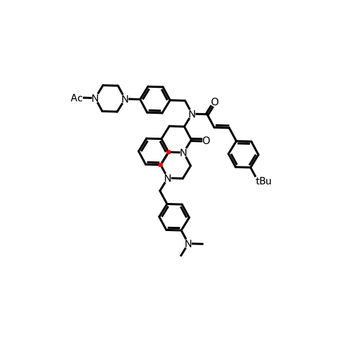 CC(=O)N1CCN(c2ccc(CN(C(=O)C=Cc3ccc(C(C)(C)C)cc3)C(Cc3ccccc3)C(=O)N3CCN(Cc4ccc(N(C)C)cc4)CC3)cc2)CC1